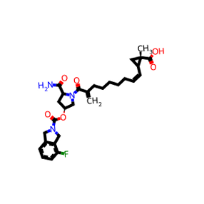 C=C(CCCCC/C=C\C1C[C@]1(C)C(=O)O)C(=O)N1C[C@H](OC(=O)N2Cc3cccc(F)c3C2)CC1C(N)=O